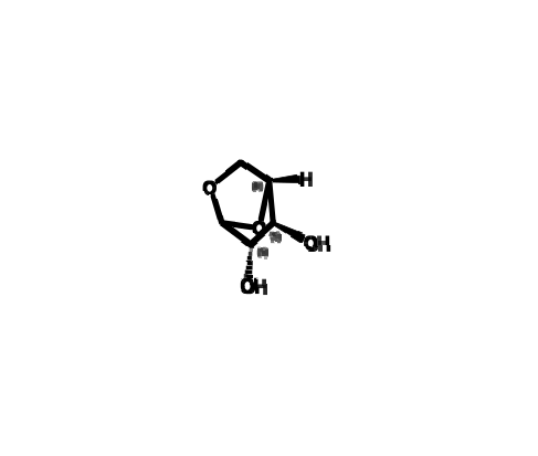 O[C@H]1[C@H](O)C2OC[C@H]1O2